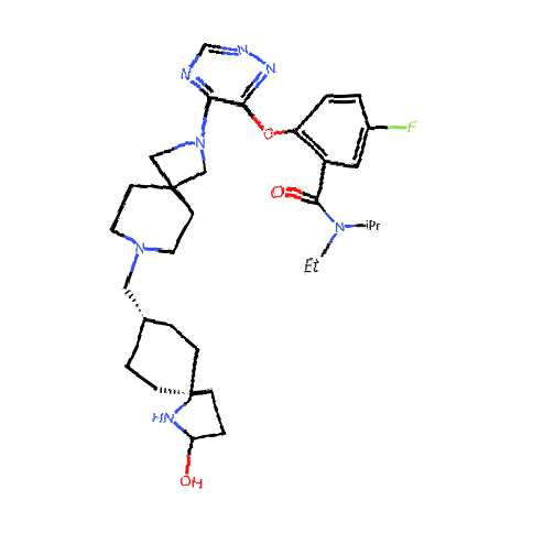 CCN(C(=O)c1cc(F)ccc1Oc1nncnc1N1CC2(CCN(C[C@H]3CC[C@@]4(CCC(O)N4)CC3)CC2)C1)C(C)C